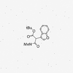 CNC(=O)C(C(=O)OC(C)(C)C)c1coc2ccccc12